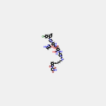 CN(CCCCCC#Cc1cccc2c1CN(C1CCC(=O)NC1=O)C2=O)CCN1CCC(CNc2ccc(S(=O)(=O)NC(=O)c3ccc(N4CCN(CC5=C(c6ccc(Cl)cc6)CC(C)(C)CC5)CC4)cc3Oc3cnc4[nH]ccc4c3)cc2NO)CC1